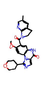 COc1cc2c(cc1C(=O)N1CCc3cc(C)cnc31)[nH]c(=O)c1cnc(C3CCOCC3)n12